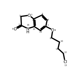 O=C1COc2ccc(OCCCCCl)cc2N1